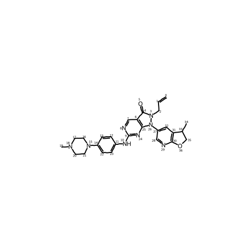 C=CCn1c(=O)c2cnc(Nc3ccc(N4CCN(C)CC4)cc3)nc2n1-c1cnc2c(c1)C(C)CO2